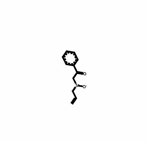 C=CC[S+]([O-])CC(=O)c1ccccc1